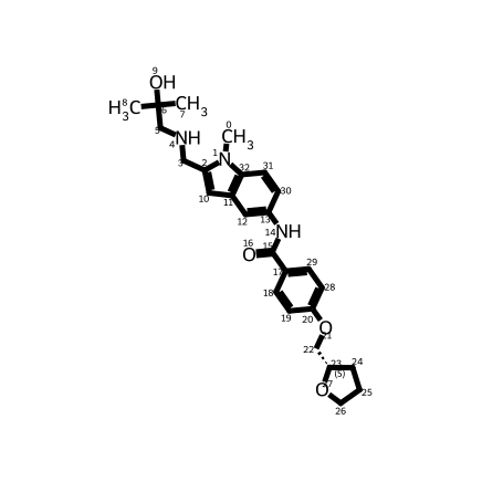 Cn1c(CNCC(C)(C)O)cc2cc(NC(=O)c3ccc(OC[C@@H]4CCCO4)cc3)ccc21